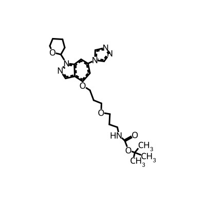 CC(C)(C)OC(=O)NCCCOCCCOc1cc(-n2cnnc2)cc2c1cnn2C1CCCCO1